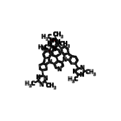 Cc1nc(C)nc(-c2ccc3c4ccc(-c5nc(C)nc(C)n5)cc4n(-c4cncc(-n5c6cc(-c7nc(C)nc(C)n7)ccc6c6ccc(-c7nc(C)nc(C)n7)cc65)c4-c4cccc(C#N)c4)c3c2)n1